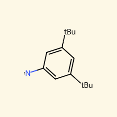 CC(C)(C)c1cc([N])cc(C(C)(C)C)c1